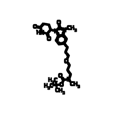 CN(CCCOCCCc1ccc2c(c1)n(C)c(=O)n2C1CCC(=O)NC1=O)C(=O)OC(C)(C)C